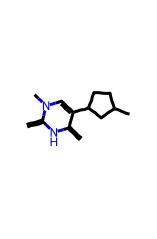 C=C1NC(=C)N(C)C=C1C1CCC(C)C1